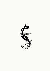 Cc1ccc(-c2cccc(-c3nc4c(ccc5cc(C(=O)N[C@@H](C)C(=O)O)cc(O)c54)[nH]3)c2)cc1C